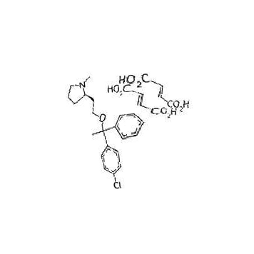 CN1CCC[C@@H]1CCOC(C)(c1ccccc1)c1ccc(Cl)cc1.O=C(O)/C=C/C(=O)O.O=C(O)/C=C/C(=O)O